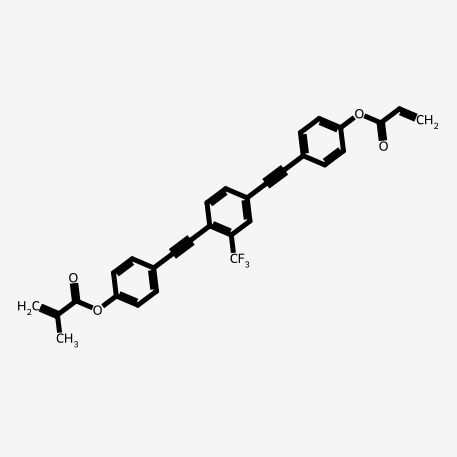 C=CC(=O)Oc1ccc(C#Cc2ccc(C#Cc3ccc(OC(=O)C(=C)C)cc3)c(C(F)(F)F)c2)cc1